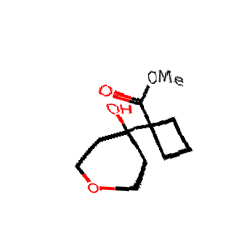 COC(=O)C1(C2(O)CCOCC2)CCC1